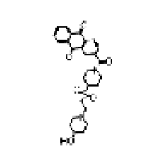 O=C1c2ccccc2C(=O)c2cc(C(=O)N3CCC(S(=O)(=O)CCN4CCC(O)CC4)CC3)ccc21